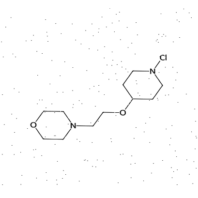 ClN1CCC(OCCN2CCOCC2)CC1